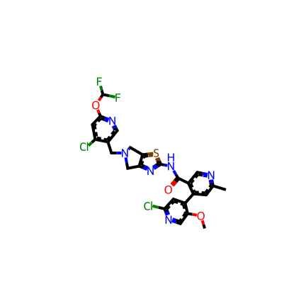 COc1cnc(Cl)cc1-c1cc(C)ncc1C(=O)Nc1nc2c(s1)CN(Cc1cnc(OC(F)F)cc1Cl)C2